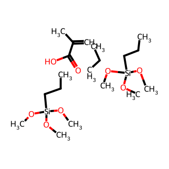 C=C(C)C(=O)O.CCC.CCC[Si](OC)(OC)OC.CCC[Si](OC)(OC)OC